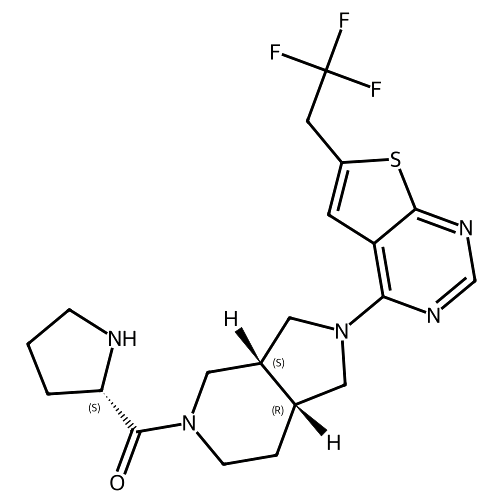 O=C([C@@H]1CCCN1)N1CC[C@H]2CN(c3ncnc4sc(CC(F)(F)F)cc34)C[C@H]2C1